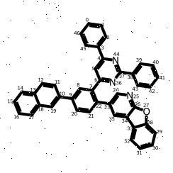 c1ccc(-c2cc(-c3cc(-c4ccc5ccccc5c4)ccc3-c3cnc4oc5ccccc5c4c3)nc(-c3ccccc3)n2)cc1